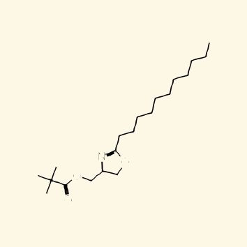 CCCCCCCCCCCC1=NC(COC(=O)C(C)(C)C)CO1